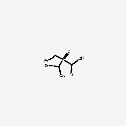 CCC(O)P(=O)(CC(C)C)C(O)CC